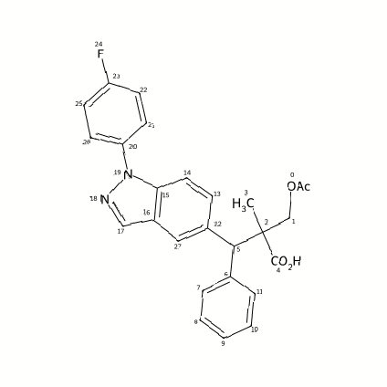 CC(=O)OCC(C)(C(=O)O)C(c1ccccc1)c1ccc2c(cnn2-c2ccc(F)cc2)c1